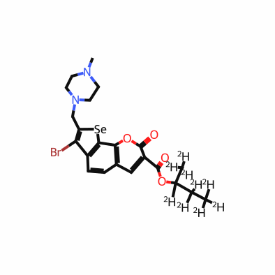 [2H]C([2H])([2H])C([2H])([2H])C([2H])(OC(=O)c1cc2ccc3c(Br)c(CN4CCN(C)CC4)[se]c3c2oc1=O)C([2H])([2H])[2H]